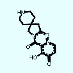 O=c1ccn2nc3n(c(=O)c2c1O)CC1(CCNCC1)C3